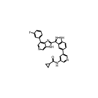 O=C(Nc1cncc(-c2ccc3[nH]nc(-c4nc5c(-c6cccc(F)c6)cncc5[nH]4)c3c2)c1)C1CC1